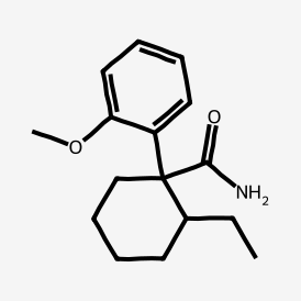 CCC1CCCCC1(C(N)=O)c1ccccc1OC